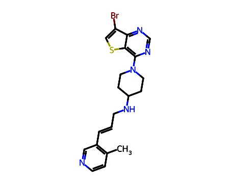 Cc1ccncc1C=CCNC1CCN(c2ncnc3c(Br)csc23)CC1